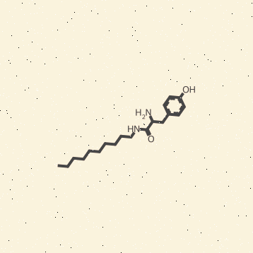 CCCCCCCCCCNC(=O)C(N)Cc1ccc(O)cc1